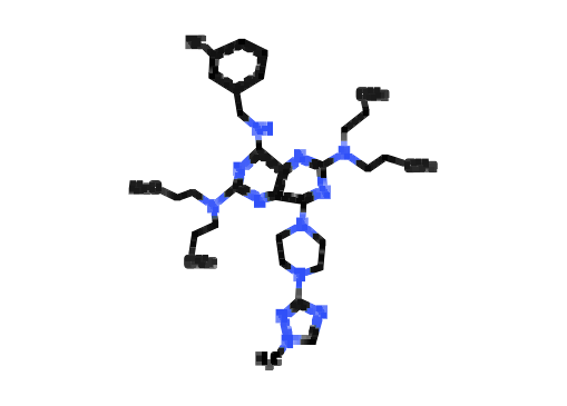 COCCN(CCOC)c1nc(N2CCN(c3ncn(C)n3)CC2)c2nc(N(CCOC)CCOC)nc(NCc3cccc(C#N)c3)c2n1